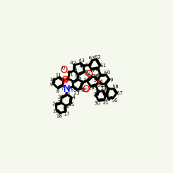 O=C1C(=O)c2c(N(c3ccccc3)c3ccc4ccccc4c3)cc3oc4c(-c5ccccc5)cccc4c3c2-c2c1ccc1c2oc2c(-c3ccc(-c4ccccc4)cc3)cccc21